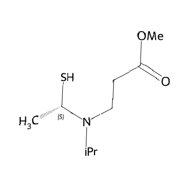 COC(=O)CCN(C(C)C)[C@H](C)S